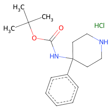 CC(C)(C)OC(=O)NC1(c2ccccc2)CCNCC1.Cl